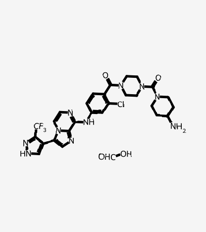 NC1CCN(C(=O)N2CCN(C(=O)c3ccc(Nc4nccn5c(-c6c[nH]nc6C(F)(F)F)cnc45)cc3Cl)CC2)CC1.O=CO